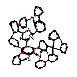 c1ccc(-n2c3ccccc3c3cccc(-c4nc(-c5ccc6sc7ccccc7c6c5)nc(-c5ccccc5-c5cccc(-c6ccc7c(c6)c6ccc8c9c6n7-c6ccccc6-c6cccc(c6-9)C86c7ccccc7-c7ccccc76)c5)n4)c32)cc1